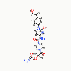 CC(C=O)c1ccc(-n2ccc(NC(=O)N3CCN(C(=O)C(C)(C)OC(N)=O)CC3)nc2=O)cc1